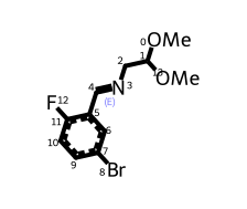 COC(C/N=C/c1cc(Br)ccc1F)OC